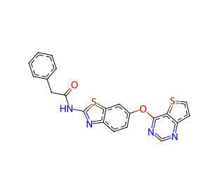 O=C(Cc1ccccc1)Nc1nc2ccc(Oc3ncnc4ccsc34)cc2s1